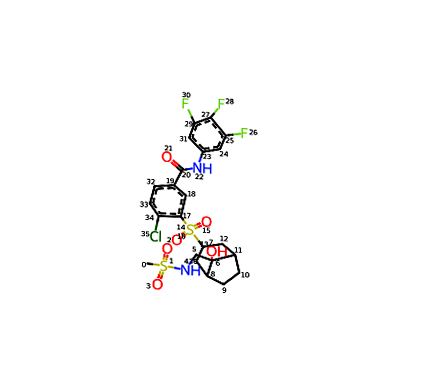 CS(=O)(=O)NCC1(O)C2CCC1CC(S(=O)(=O)c1cc(C(=O)Nc3cc(F)c(F)c(F)c3)ccc1Cl)C2